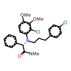 CNC(=O)[C@H](c1ccccc1)N(CCCc1ccc(Cl)cc1)c1ccc(OC)c(OC)c1Cl